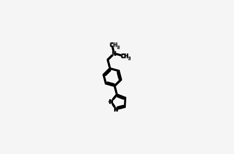 CN(C)Cc1ccc(C2=CC=N[N]2)cc1